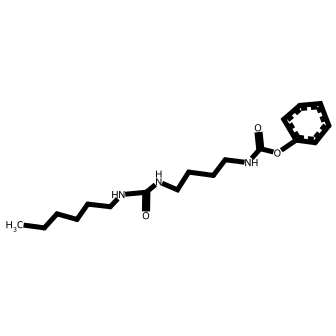 CCCCCCNC(=O)NCCCCNC(=O)Oc1ccccc1